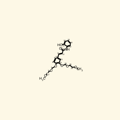 COCCOCOc1ccc(C=CC(=O)Nc2ccccc2O)cc1OCOCCOC